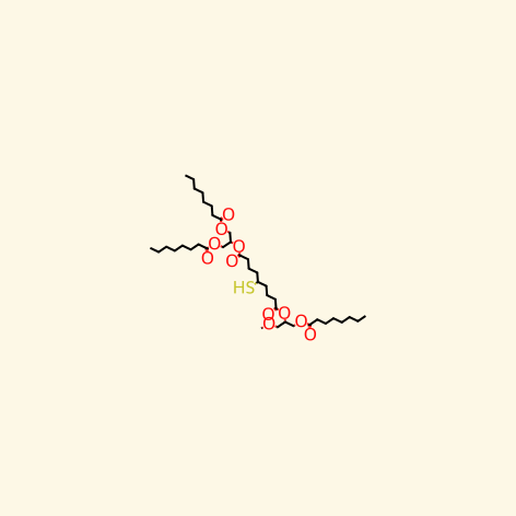 CCCCCCCC(=O)OCC(COC)OC(=O)CCCC(S)CCCC(=O)OC(COC(=O)CCCCCCC)COC(=O)CCCCCCC